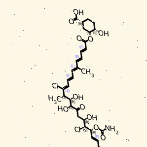 CC/C=C/[C@@H](OC(N)=O)[C@@H](Cl)[C@H](O)CC(=O)[C@@H](O)[C@H](O)[C@H](C)/C(Cl)=C/C=C/C=C(C)/C=C/C=C/C(=O)O[C@@H]1C[C@H](C(=O)O)CC[C@@H]1O